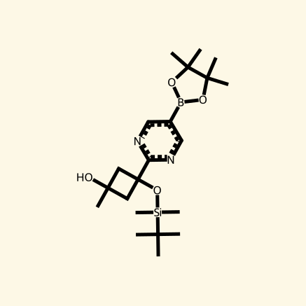 CC1(O)CC(O[Si](C)(C)C(C)(C)C)(c2ncc(B3OC(C)(C)C(C)(C)O3)cn2)C1